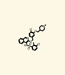 Cc1c(Cl)cccc1S(=O)(=O)Nc1c(OCc2ccc(Cl)c(OCC3CCN(C)CC3)c2)ncc2ccccc12